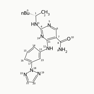 CCCC[C@H](C)Nc1ncc(C(N)=O)c(Nc2cccc(-n3nccn3)c2)n1